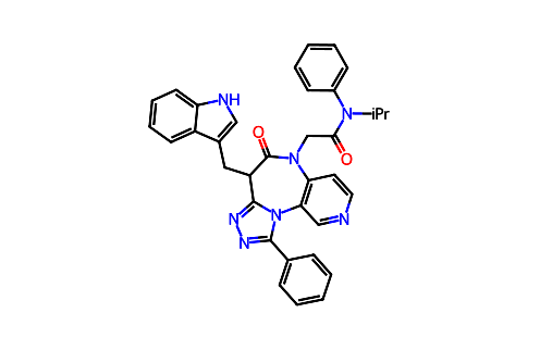 CC(C)N(C(=O)CN1C(=O)C(Cc2c[nH]c3ccccc23)c2nnc(-c3ccccc3)n2-c2cnccc21)c1ccccc1